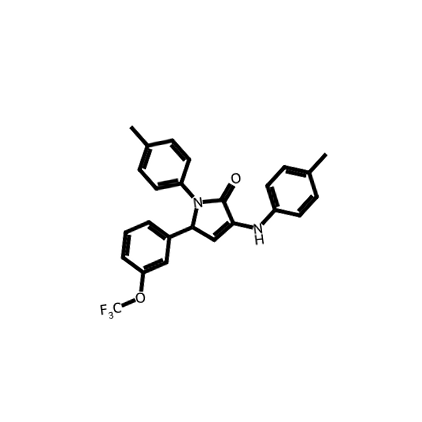 Cc1ccc(NC2=CC(c3cccc(OC(F)(F)F)c3)N(c3ccc(C)cc3)C2=O)cc1